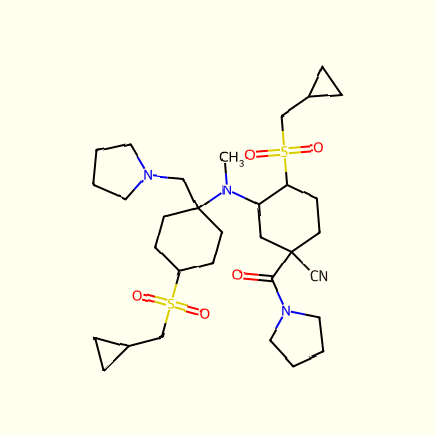 CN(C1CC(C#N)(C(=O)N2CCCC2)CCC1S(=O)(=O)CC1CC1)C1(CN2CCCC2)CCC(S(=O)(=O)CC2CC2)CC1